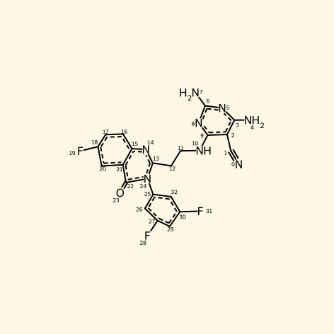 N#Cc1c(N)nc(N)nc1NCCc1nc2ccc(F)cc2c(=O)n1-c1cc(F)cc(F)c1